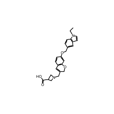 CCn1ccc2cc(COc3ccc4c(c3)OCC(CN3CC(C(=O)O)C3)=C4)ccc21